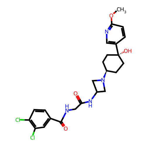 COc1ccc([C@]2(O)CC[C@H](N3CC(NC(=O)CNC(=O)c4ccc(Cl)c(Cl)c4)C3)CC2)cn1